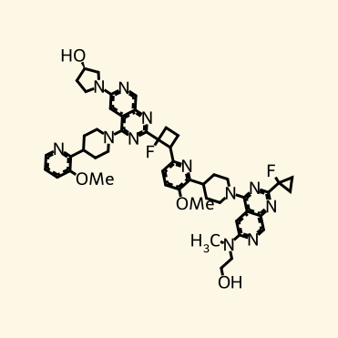 COc1cccnc1C1CCN(c2nc(C3(F)CCC3c3ccc(OC)c(C4CCN(c5nc(C6(F)CC6)nc6cnc(N(C)CCO)cc56)CC4)n3)nc3cnc(N4CC[C@@H](O)C4)cc23)CC1